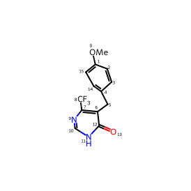 COc1ccc(Cc2c(C(F)(F)F)nc[nH]c2=O)cc1